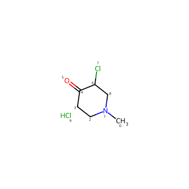 CN1CCC(=O)C(Cl)C1.Cl